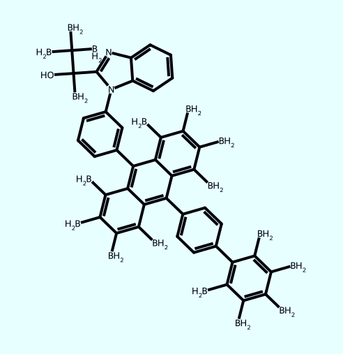 Bc1c(B)c(B)c(-c2ccc(-c3c4c(B)c(B)c(B)c(B)c4c(-c4cccc(-n5c(C(B)(O)C(B)(B)B)nc6ccccc65)c4)c4c(B)c(B)c(B)c(B)c34)cc2)c(B)c1B